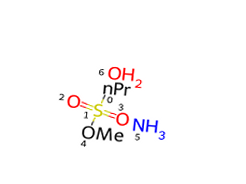 CCCS(=O)(=O)OC.N.O